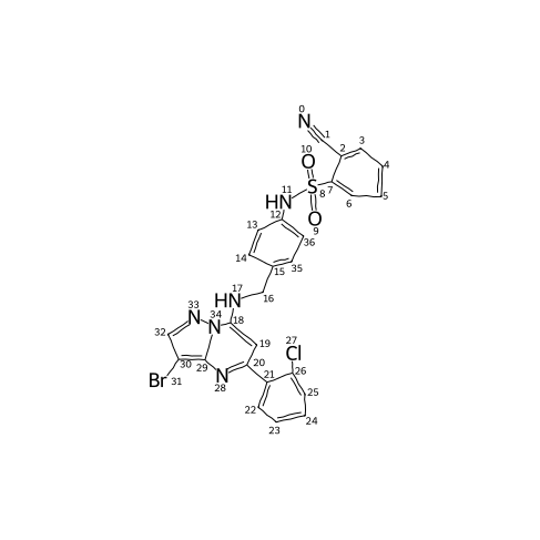 N#Cc1ccccc1S(=O)(=O)Nc1ccc(CNc2cc(-c3ccccc3Cl)nc3c(Br)cnn23)cc1